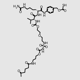 CC(=O)CCCC(=O)NCCCOC(=O)NS(=O)(=O)NCCOCCOC(=O)N[C@@H](C(=O)N[C@H](CCCCNC(N)=O)C(=O)Nc1ccc(COC(=O)S)cc1)C(C)C